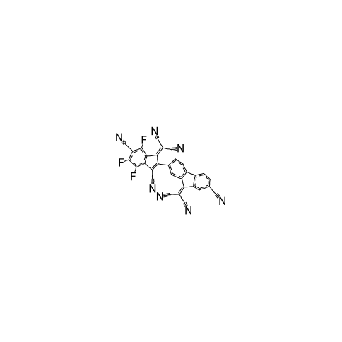 N#CC(C#N)=C1c2cc(C#N)ccc2-c2ccc(C3=C(C#N)c4c(F)c(F)c(C#N)c(F)c4C3=C(C#N)C#N)cc21